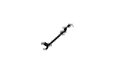 C#CCOCC(COCC#C)(COCC#C)NC(=O)CCOCCOCCOCCOCCOCCOCCNC(=O)CCCNC(=O)c1ccc(NC/C=N/CC(N)=O)cc1